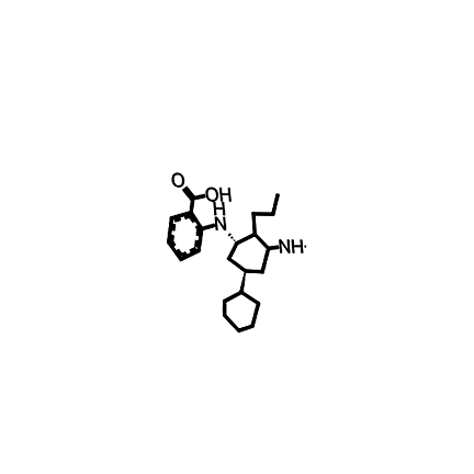 CCCC1C([NH])C[C@@H](C2CCCCC2)C[C@@H]1Nc1ccccc1C(=O)O